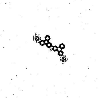 O=S(=O)(Oc1ccc2c(c1)c1ccccc1c1cc3c(cc21)sc1cc2c4ccc(OS(=O)(=O)C(F)(F)F)cc4c4ccccc4c2cc13)C(F)(F)F